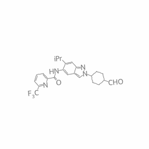 CC(C)c1cc2nn(C3CCC(C=O)CC3)cc2cc1NC(=O)c1cccc(C(F)(F)F)n1